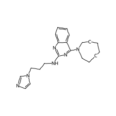 c1ccc2c(N3CCCCCCC3)nc(NCCCn3ccnc3)nc2c1